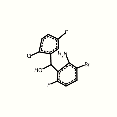 Nc1c(Br)ccc(F)c1C(O)c1cc(F)ccc1Cl